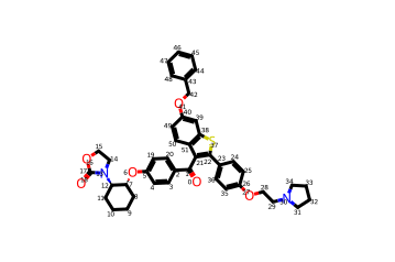 O=C(c1ccc(O[C@@H]2CCCC[C@H]2N2CCOC2=O)cc1)c1c(-c2ccc(OCCN3CCCC3)cc2)sc2cc(OCc3ccccc3)ccc12